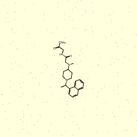 COC(=O)CNC(=O)CN(C)C1CCN(C(C)c2cccc3ccccc23)CC1